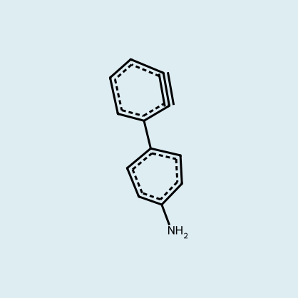 Nc1ccc(-c2c#cccc2)cc1